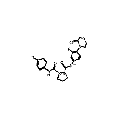 O=C(Nc1ccc(N2CCOCC2=O)c(F)c1)[C@H]1CCCN1C(=O)Nc1ccc(Cl)cc1